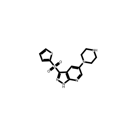 O=S(=O)(c1cccs1)c1n[nH]c2ncc(N3CCNCC3)cc12